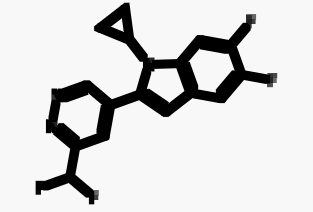 Fc1cc2cc(-c3cnnc(C(F)F)c3)n(C3CC3)c2cc1F